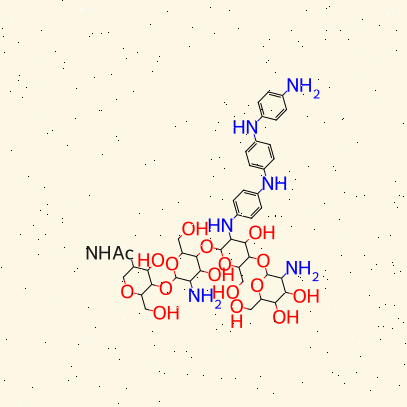 CC(=O)NC1COC(CO)C(OC2OC(CO)C(OC3OC(CO)C(OC4OC(CO)C(O)C(O)C4N)C(O)C3Nc3ccc(Nc4ccc(Nc5ccc(N)cc5)cc4)cc3)C(O)C2N)C1O